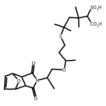 CC(CCSC(C)(C)CC(C)(C)C(C(=O)O)S(=O)(=O)O)OCC(C)N1C(=O)C2C3C=CC(O3)C2C1=O